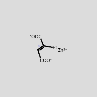 CC/C(=C\C(=O)[O-])C(=O)[O-].[Zn+2]